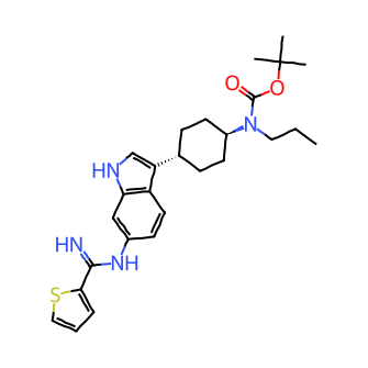 CCCN(C(=O)OC(C)(C)C)[C@H]1CC[C@H](c2c[nH]c3cc(NC(=N)c4cccs4)ccc32)CC1